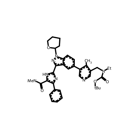 CCN(Cc1cncc(-c2ccc3c(c2)c(-c2nc(-c4ccccc4)c(C(=O)NC)[nH]2)nn3C2CCCCO2)c1C)C(=O)OC(C)(C)C